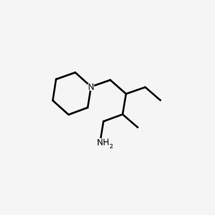 CCC(CN1CCCCC1)C(C)CN